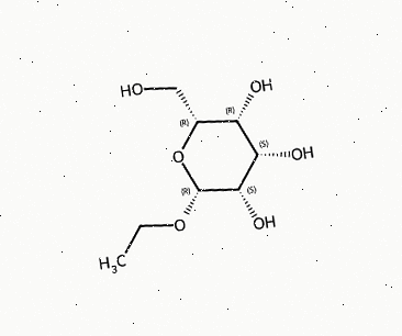 CCO[C@@H]1O[C@H](CO)[C@H](O)[C@H](O)[C@@H]1O